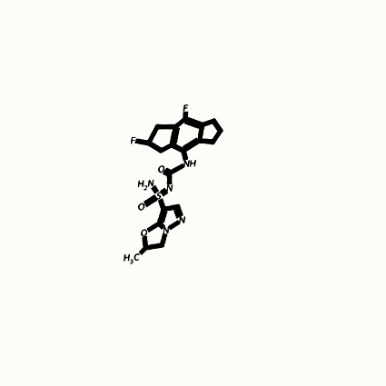 CC1Cn2ncc(S(N)(=O)=NC(=O)Nc3c4c(c(F)c5c3CC(F)C5)CCC4)c2O1